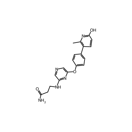 Cc1nc(O)ccc1-c1ccc(Oc2cncc(NCCC(N)=O)n2)cc1